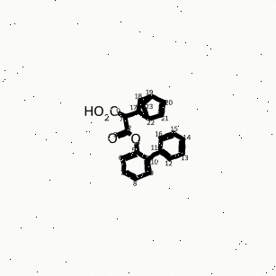 O=C(O)C(C(=O)Oc1ccccc1-c1ccccc1)C1CC2C=CC1C2